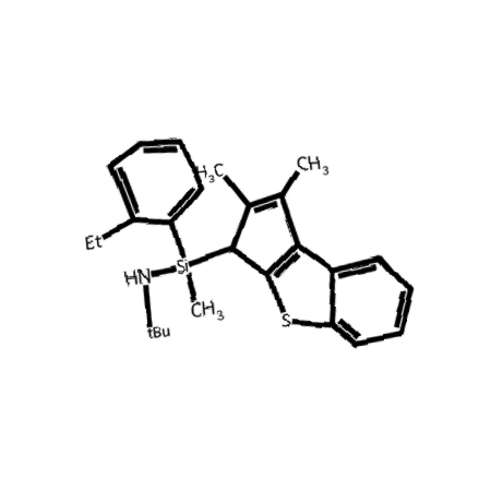 CCc1ccccc1[Si](C)(NC(C)(C)C)C1C(C)=C(C)c2c1sc1ccccc21